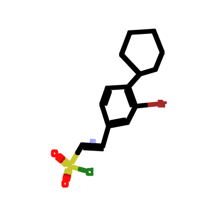 O=S(=O)(Cl)/C=C/c1ccc(C2CCCCC2)c(Br)c1